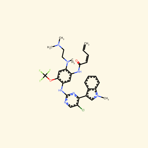 C=C/C=C\C(=O)Nc1cc(Nc2ncc(Cl)c(-c3cn(C)c4ccccc34)n2)c(OC(F)(F)F)cc1N(C)CCN(C)C